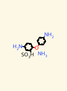 N.Nc1ccc(Oc2ccc(N)cc2S(=O)(=O)O)cc1